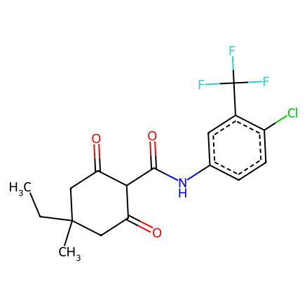 CCC1(C)CC(=O)C(C(=O)Nc2ccc(Cl)c(C(F)(F)F)c2)C(=O)C1